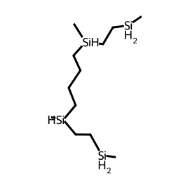 C[SiH2]CC[SiH](C)CCCC[SiH](C)CC[SiH2]C